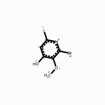 COc1c(O)cc(I)nc1Br